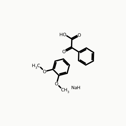 COc1ccccc1OC.O=C(O)C(=O)c1ccccc1.[NaH]